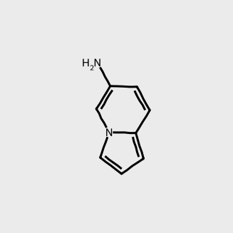 Nc1ccc2cccn2c1